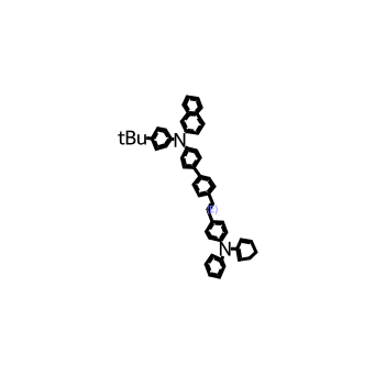 CC(C)(C)c1ccc(N(c2ccc(-c3ccc(/C=C/c4ccc(N(C5=CCCC=C5)c5ccccc5)cc4)cc3)cc2)c2ccc3ccccc3c2)cc1